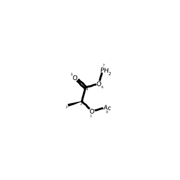 CC(=O)O[C@@H](C)C(=O)OP